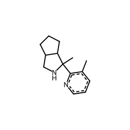 Cc1cccnc1C1(C)NCC2CCCC21